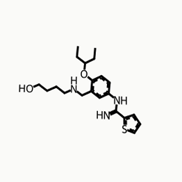 CCC(CC)Oc1ccc(NC(=N)c2cccs2)cc1CNCCCCO